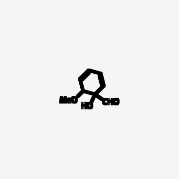 COC1C=CC=CC1(O)C=O